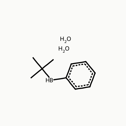 CC(C)(C)Bc1ccccc1.O.O